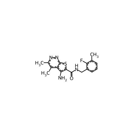 Cc1cccc(CNC(=O)c2sc3nnc(C)c(C)c3c2N)c1F